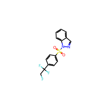 O=S(=O)(c1ccc(C(F)(F)CF)cc1)n1ncc2ccccc21